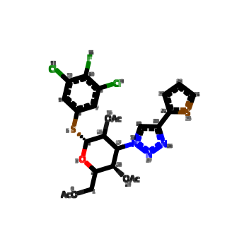 CC(=O)OCC1O[C@H](Sc2cc(Cl)c(F)c(Cl)c2)C(OC(C)=O)C(n2cc(-c3cccs3)nn2)[C@H]1OC(C)=O